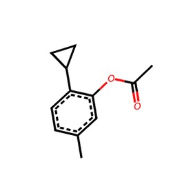 CC(=O)Oc1cc(C)ccc1C1CC1